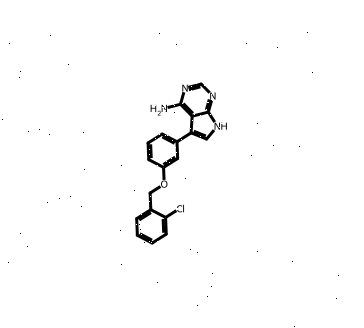 Nc1ncnc2[nH]cc(-c3cccc(OCc4ccccc4Cl)c3)c12